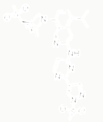 CC(C)c1ccc(N2C[C@H](CS(C)(=O)=O)[C@H]2C)c2cnc(Nc3ccnc(-c4cnn(S(C)(=O)=O)c4)n3)cc12